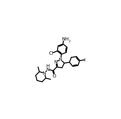 CC1CCCC(C)N1NC(=O)C1=NN(c2ccc(N)cc2Cl)C(C2C=CC(I)=CC2)C1